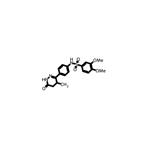 COc1ccc(S(=O)(=O)Nc2ccc(C3=NNC(=O)CC3C)cc2)cc1OC